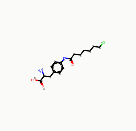 NC(Cc1ccc(NC(=O)CCCCCCCl)cc1)C(=O)O